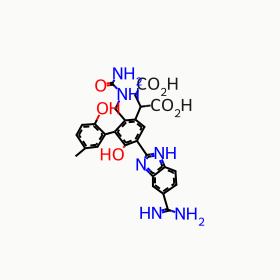 Cc1ccc(O)c(-c2c(O)c(-c3nc4cc(C(=N)N)ccc4[nH]3)cc(C(CC(=O)O)C(=O)O)c2CNC(N)=O)c1